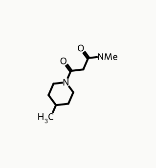 CNC(=O)CC(=O)N1CCC(C)CC1